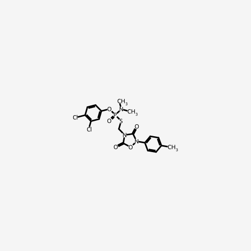 Cc1ccc(-n2oc(=O)n(CSP(=O)(Oc3ccc(Cl)c(Cl)c3)N(C)C)c2=O)cc1